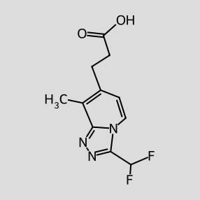 Cc1c(CCC(=O)O)ccn2c(C(F)F)nnc12